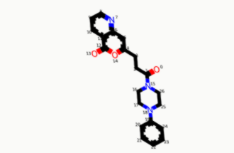 O=C(CCc1cc2ncccc2c(=O)o1)N1CCN(c2ccccc2)CC1